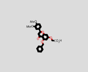 COc1ccc(-c2cc(=O)c3c(OCc4ccccc4)cc(OCC(=O)O)cc3o2)cc1OC